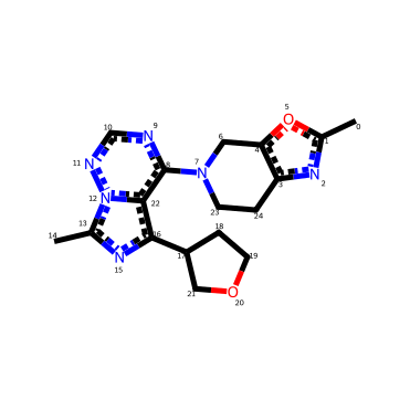 Cc1nc2c(o1)CN(c1ncnn3c(C)nc(C4CCOC4)c13)CC2